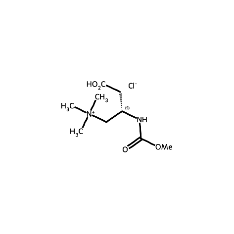 COC(=O)N[C@@H](CC(=O)O)C[N+](C)(C)C.[Cl-]